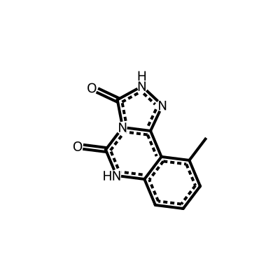 Cc1cccc2[nH]c(=O)n3c(=O)[nH]nc3c12